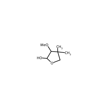 COC1C(O)OCC1(C)C